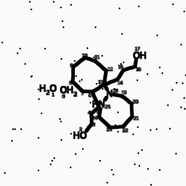 O.O.OCCCC1CCCCCCC1(CCCO)N1CCCCCCN1